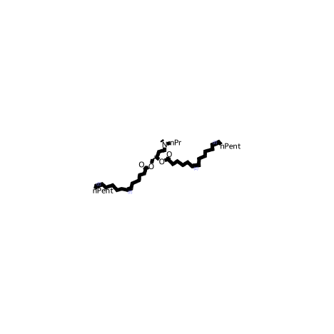 CCCCC/C=C\CCCC/C=C\CCCCC(=O)OC[C@H](CCN(C)CCC)OC(=O)CCCC/C=C\CCCC/C=C\CCCCC